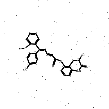 CC(C)Oc1ccccc1C(=CC=CC(=O)Nc1cccc2c1CC(O)C(=O)N2)c1ccc(C(F)(F)F)cc1